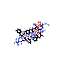 CNC(=N)NCCC[C@H](NC(=O)[C@H](CC(C)C)NC(=O)NNC(=O)[C@H](Cc1ccccc1)NC(=O)[C@@H](NC(=O)[C@H](CC(N)=O)NC(=O)[C@@H](C)Cc1c[nH]c2ccccc12)[C@@H](C)O)C(=O)N[C@@H](Cc1ccccc1)C(N)=O